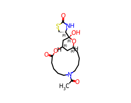 CC(=O)N1CCCCC(=O)O[C@@H]2C[C@@H](CCCC1)O[C@@](O)([C@@H]1CSC(=O)N1)C2